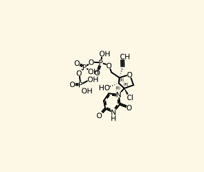 C#C[C@]1(COP(=O)(O)OP(=O)(O)OP(=O)(O)O)OC[C@](Cl)(n2ccc(=O)[nH]c2=O)[C@@H]1O